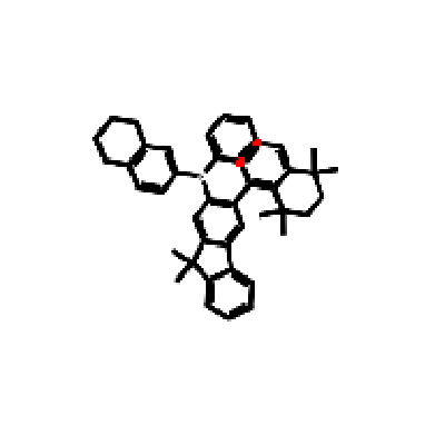 CC1(C)CCC(C)(C)c2c(-c3cc4c(cc3N(c3ccccc3)c3ccc5c(c3)CCCC5)C(C)(C)c3ccccc3-4)cccc21